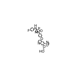 O=C(Nc1ccc(F)cc1)C1(C(=O)Nc2ccc(Oc3ccnc4cc(OCCO)c(-c5ncco5)cc34)cc2)CC1